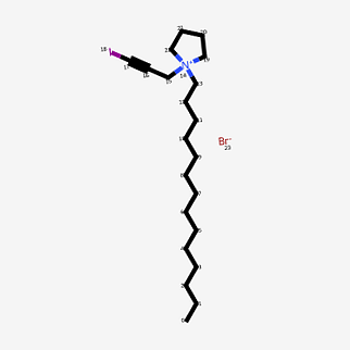 CCCCCCCCCCCCCC[N+]1(CC#CI)CCCC1.[Br-]